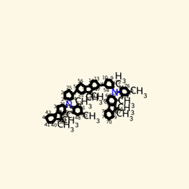 Cc1cc(C)c(N(c2cccc(-c3ccc4c(c3)C(C)(C)c3cc(-c5cccc(N(c6ccc7c(c6)C(C)(C)c6ccccc6-7)c6c(C)cc(C)cc6C)c5)ccc3-4)c2)c2ccc3c(c2)C(C)(C)c2ccccc2-3)c(C)c1